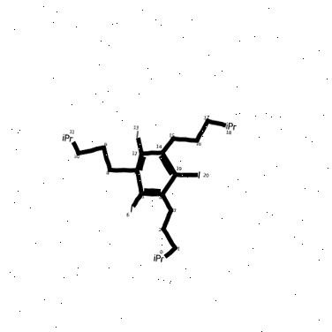 CC(C)CCCc1c(I)c(CCCC(C)C)c(I)c(CCCC(C)C)c1I